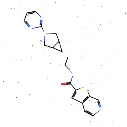 O=C(NCC[C@@H]1[C@H]2CN(c3ncccn3)C[C@@H]12)c1cc2ccncc2s1